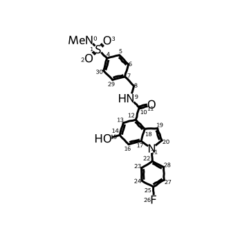 CNS(=O)(=O)c1ccc(CNC(=O)c2cc(O)cc3c2ccn3-c2ccc(F)cc2)cc1